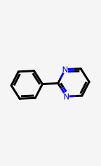 c1ccc(-c2ncccn2)cc1